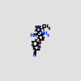 CCc1cc(C(=N)c2cc(OC3CCCc4cc(C#N)cnc43)ccc2N)ccn1